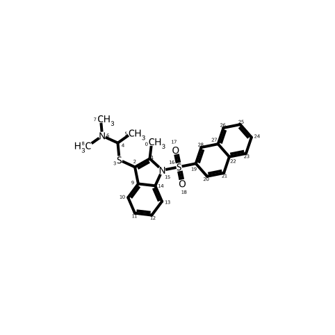 Cc1c(SC(C)N(C)C)c2ccccc2n1S(=O)(=O)c1ccc2ccccc2c1